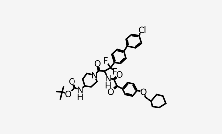 CC(C)(C)OC(=O)NC1CCN(C(=O)C(NC(=O)C(=O)c2ccc(OCC3CCCCC3)cc2)C(F)(F)c2ccc(-c3ccc(Cl)cc3)cc2)CC1